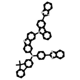 CC1(C)c2ccccc2-c2ccc(N(c3ccc(-c4nc5ccccc5o4)cc3)c3ccc4oc5ccc(-n6c7ccccc7c7cc(-c8nc9ccccc9o8)ccc76)cc5c4c3)cc21